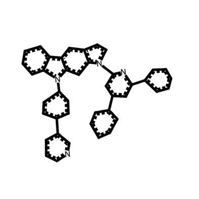 c1ccc(-c2cc(-c3ccccc3)nc(-n3ccc4cc5c6ccccc6n(-c6ccc(-c7cccnc7)cc6)c5cc43)c2)cc1